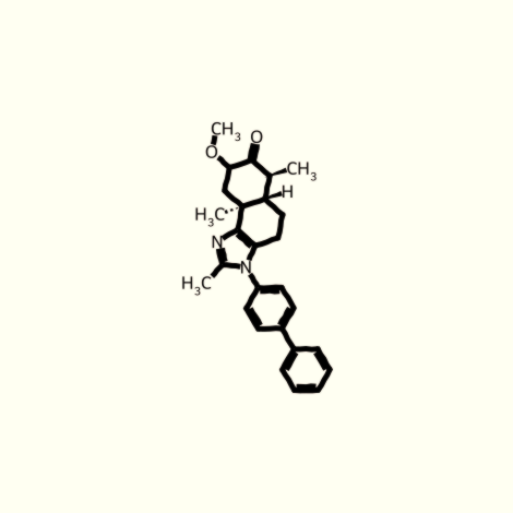 COC1C[C@]2(C)c3nc(C)n(-c4ccc(-c5ccccc5)cc4)c3CC[C@H]2[C@H](C)C1=O